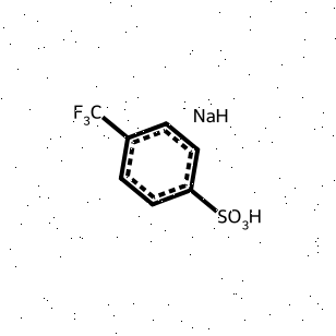 O=S(=O)(O)c1ccc(C(F)(F)F)cc1.[NaH]